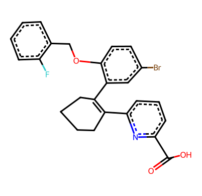 O=C(O)c1cccc(C2=C(c3cc(Br)ccc3OCc3ccccc3F)CCCC2)n1